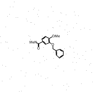 CNC(=O)c1ccc(OC)c(OCc2ccccc2)c1